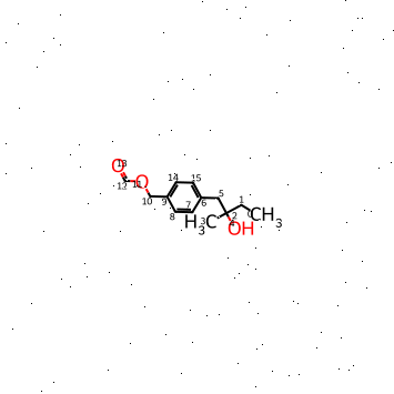 CCC(C)(O)Cc1ccc(COC=O)cc1